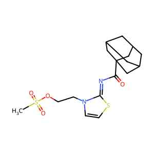 CS(=O)(=O)OCCn1ccs/c1=N\C(=O)C12CC3CC(CC(C3)C1)C2